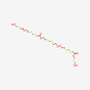 O=C(CSCSCCOOCSCO)OCCSCSCCOOCCSCSCC(=O)OCSCO